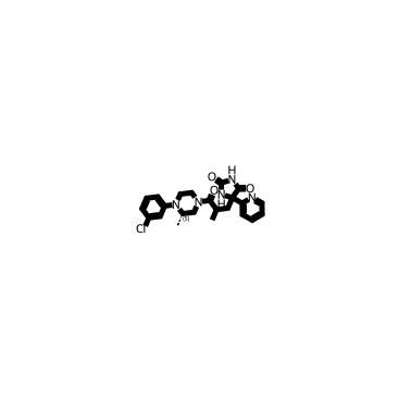 CC(CC1(c2ccccn2)NC(=O)NC1=O)C(=O)N1CCN(c2cccc(Cl)c2)[C@@H](C)C1